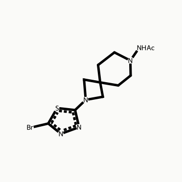 CC(=O)NN1CCC2(CC1)CN(c1nnc(Br)s1)C2